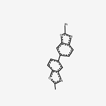 Cc1nc2cc(-c3ccc4nc(C(C)C)oc4c3)ccc2o1